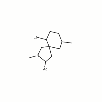 CCC1CCC(C)CC12CC(C(C)=O)N(C)C2